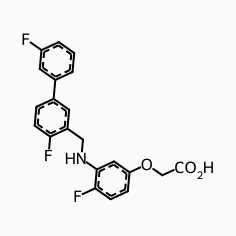 O=C(O)COc1ccc(F)c(NCc2cc(-c3cccc(F)c3)ccc2F)c1